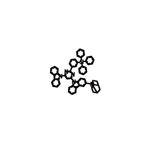 c1ccc([Si](c2ccccc2)(c2ccccc2)c2cccc(-c3nc(-n4c5ccccc5c5ccccc54)cc(-n4c5ccccc5c5cc(N6C7CC8CC(C7)CC6C8)ccc54)n3)c2)cc1